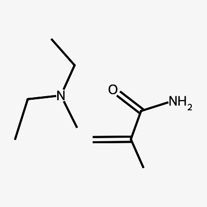 C=C(C)C(N)=O.CCN(C)CC